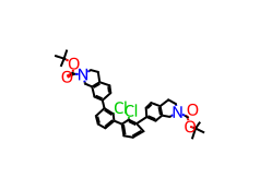 CC(C)(C)OC(=O)N1CCc2ccc(-c3cccc(-c4cccc(-c5ccc6c(c5)CN(C(=O)OC(C)(C)C)CC6)c4Cl)c3Cl)cc2C1